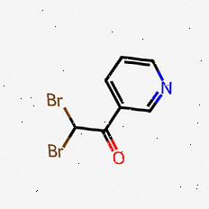 O=C(c1cccnc1)C(Br)Br